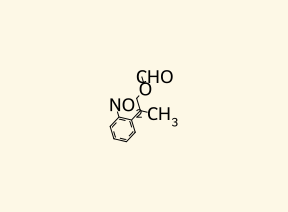 CC(COC=O)c1ccccc1[N+](=O)[O-]